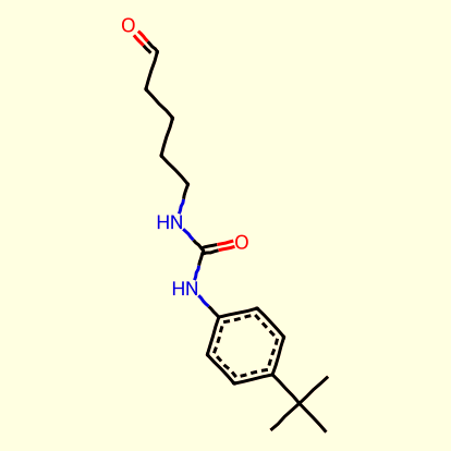 CC(C)(C)c1ccc(NC(=O)NCCCCC=O)cc1